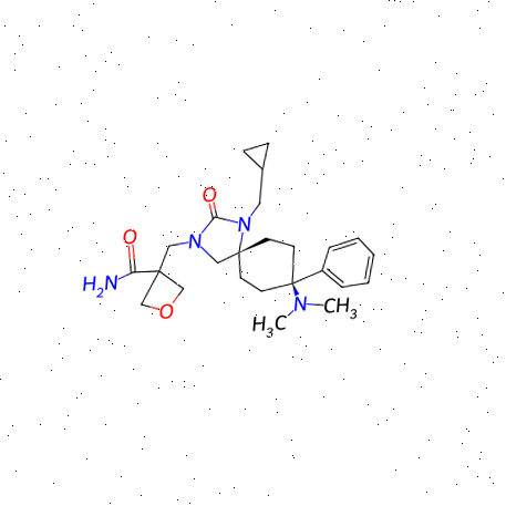 CN(C)[C@]1(c2ccccc2)CC[C@@]2(CC1)CN(CC1(C(N)=O)COC1)C(=O)N2CC1CC1